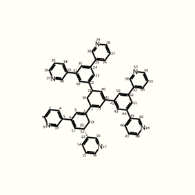 C1=C(C2=CC(c3cccnc3)=C[C@@H](c3cccnc3)C2)CC(c2cc(-c3cccnc3)cc(-c3cccnc3)c2)C=C1c1cc(-c2cccnc2)cc(-c2cccnc2)c1